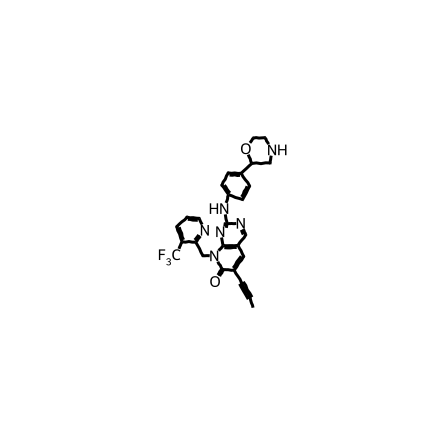 CC#Cc1cc2cnc(Nc3ccc(C4CNCCO4)cc3)nc2n(Cc2ncccc2C(F)(F)F)c1=O